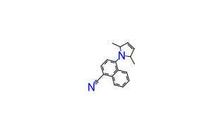 CC1C=CC(C)N1c1ccc(C#N)c2ccccc12